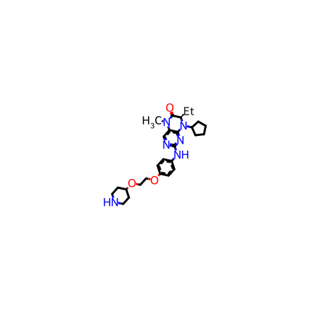 CC[C@@H]1C(=O)N(C)c2cnc(Nc3ccc(OCCOC4CCNCC4)cc3)nc2N1C1CCCC1